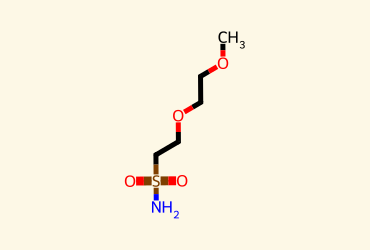 COCCOCCS(N)(=O)=O